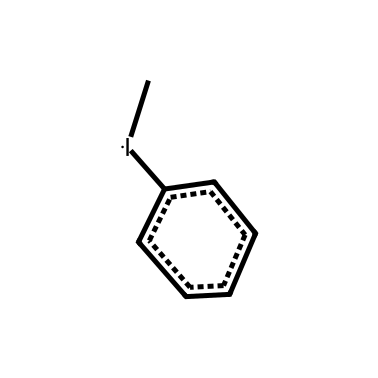 C[I]c1ccccc1